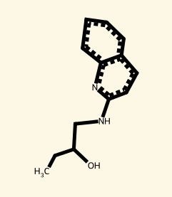 CCC(O)CNc1ccc2ccccc2n1